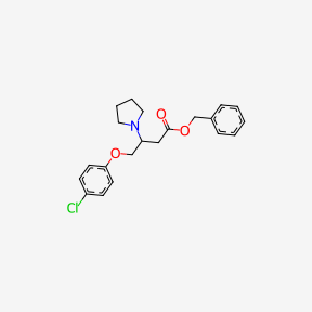 O=C(CC(COc1ccc(Cl)cc1)N1CCCC1)OCc1ccccc1